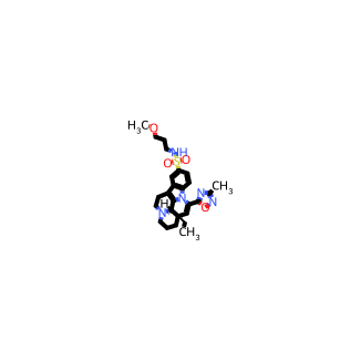 CC[C@@]12C=C(c3nc(C)no3)n3c4c(c5cc(S(=O)(=O)NCCCOC)ccc53)CCN(CCC1)[C@H]42